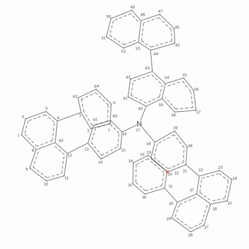 c1ccc(-c2cccc3cccc(-c4ccc(N(c5ccc(-c6cccc7cccc(-c8ccccc8)c67)cc5)c5ccc(-c6cccc7ccccc67)c6ccccc56)cc4)c23)cc1